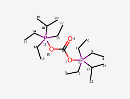 CCP(CC)(CC)(OC(=O)OP(CC)(CC)(CC)C(C)C)C(C)C